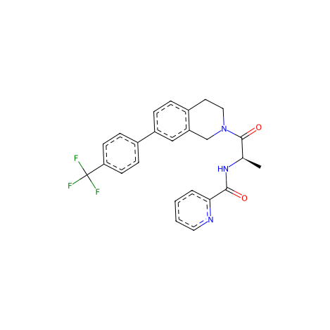 C[C@@H](NC(=O)c1ccccn1)C(=O)N1CCc2ccc(-c3ccc(C(F)(F)F)cc3)cc2C1